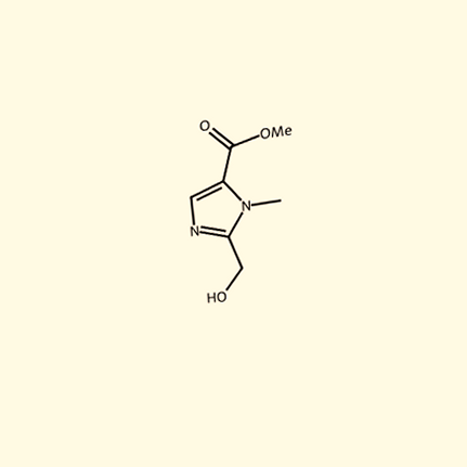 COC(=O)c1cnc(CO)n1C